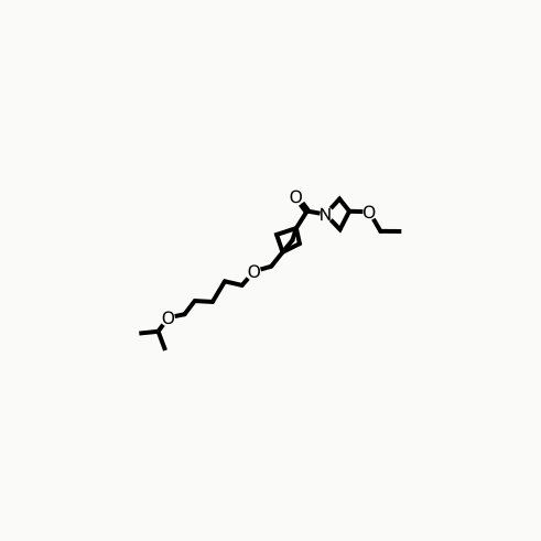 CCOC1CN(C(=O)C23CC(COCCCCCOC(C)C)(C2)C3)C1